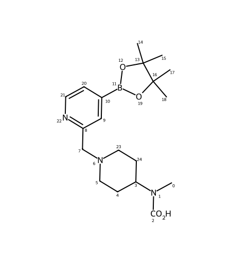 CN(C(=O)O)C1CCN(Cc2cc(B3OC(C)(C)C(C)(C)O3)ccn2)CC1